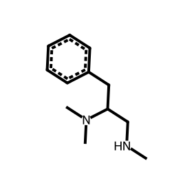 CNCC(Cc1ccccc1)N(C)C